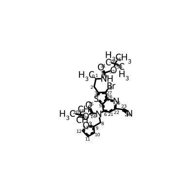 C[C@@H](Cc1sc2c(N(Cc3ccco3)C(=O)OC(C)(C)C)cc(C#N)nc2c1Br)NC(=O)OC(C)(C)C